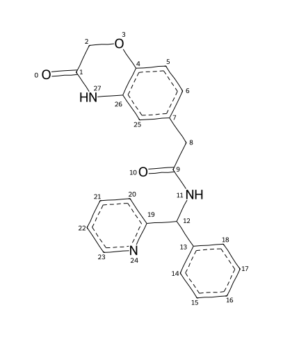 O=C1COc2ccc(CC(=O)NC(c3ccccc3)c3ccccn3)cc2N1